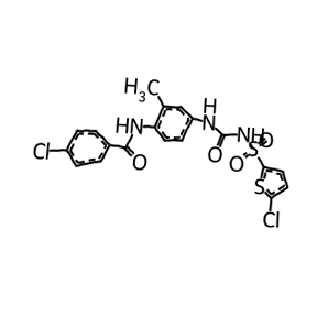 Cc1cc(NC(=O)NS(=O)(=O)c2ccc(Cl)s2)ccc1NC(=O)c1ccc(Cl)cc1